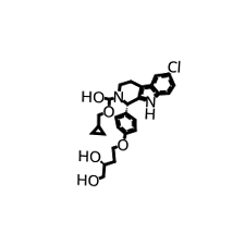 OC[C@@H](O)CCOc1ccc([C@H]2c3[nH]c4ccc(Cl)cc4c3CCN2C(O)OCC2CC2)cc1